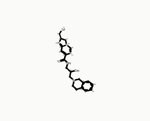 O=C(NCC(O)CN1CCc2ccccc2C1)C1=CC2=NC(CO)CN2C=N1